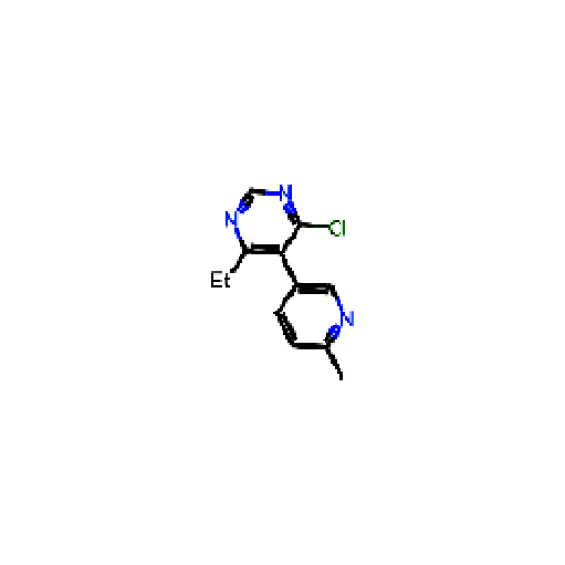 CCc1ncnc(Cl)c1-c1ccc(C)nc1